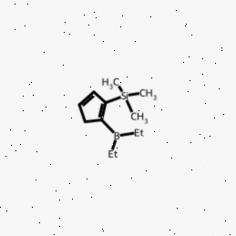 CCB(CC)C1=C([Si](C)(C)C)C=CC1